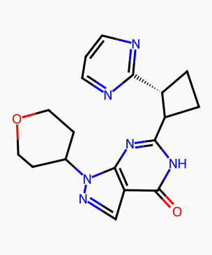 O=c1[nH]c(C2CC[C@H]2c2ncccn2)nc2c1cnn2C1CCOCC1